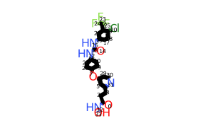 O=C(/C=C/c1cc(Oc2ccc(NC(=O)Nc3ccc(Cl)c(C(F)(F)F)c3)cc2)ccn1)NO